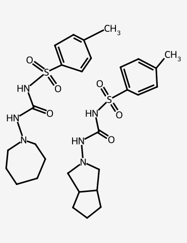 Cc1ccc(S(=O)(=O)NC(=O)NN2CC3CCCC3C2)cc1.Cc1ccc(S(=O)(=O)NC(=O)NN2CCCCCC2)cc1